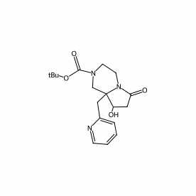 CC(C)(C)OC(=O)N1CCN2C(=O)CC(O)C2(Cc2ccccn2)C1